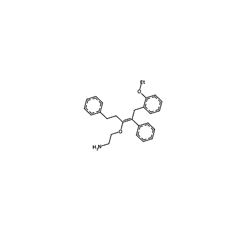 CCOc1ccccc1C/C(=C(\CCc1ccccc1)OCCN)c1ccccc1